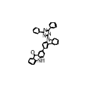 O=c1c2ccccc2[nH]c2ccc(-c3ccc4c(c3)c3ccccc3n4-c3nc(-c4ccccc4)nc(-c4ccccc4)n3)cc12